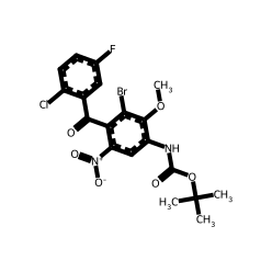 COc1c(NC(=O)OC(C)(C)C)cc([N+](=O)[O-])c(C(=O)c2cc(F)ccc2Cl)c1Br